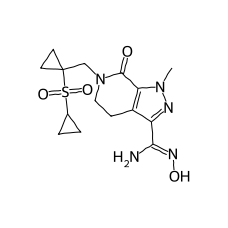 Cn1nc(/C(N)=N/O)c2c1C(=O)N(CC1(S(=O)(=O)C3CC3)CC1)CC2